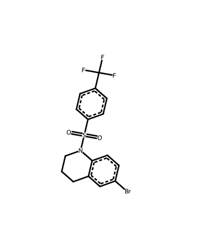 O=S(=O)(c1ccc(C(F)(F)F)cc1)N1CCCc2cc(Br)ccc21